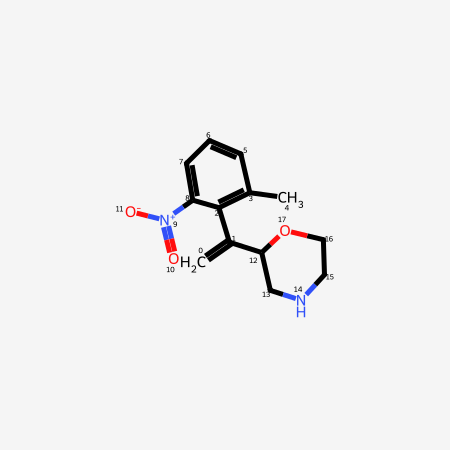 C=C(c1c(C)cccc1[N+](=O)[O-])C1CNCCO1